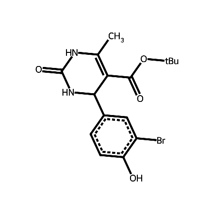 CC1=C(C(=O)OC(C)(C)C)C(c2ccc(O)c(Br)c2)NC(=O)N1